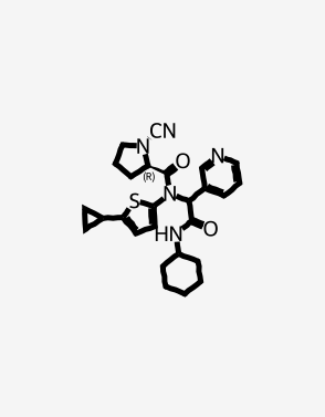 N#CN1CCC[C@@H]1C(=O)N(c1ccc(C2CC2)s1)C(C(=O)NC1CCCCC1)c1cccnc1